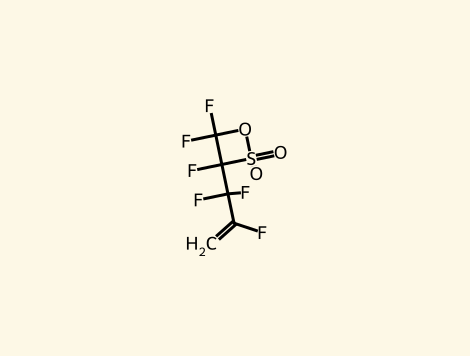 C=C(F)C(F)(F)C1(F)C(F)(F)OS1(=O)=O